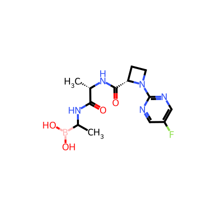 CC(NC(=O)[C@H](C)NC(=O)[C@@H]1CCN1c1ncc(F)cn1)B(O)O